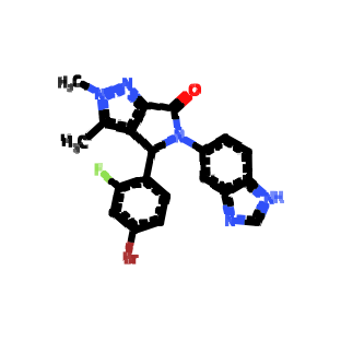 Cc1c2c(nn1C)C(=O)N(c1ccc3[nH]cnc3c1)C2c1ccc(Br)cc1F